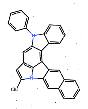 CC(C)(C)c1cc2cc3c(c4ccccc4n3-c3ccccc3)c3c4cc5ccccc5cc4n1c23